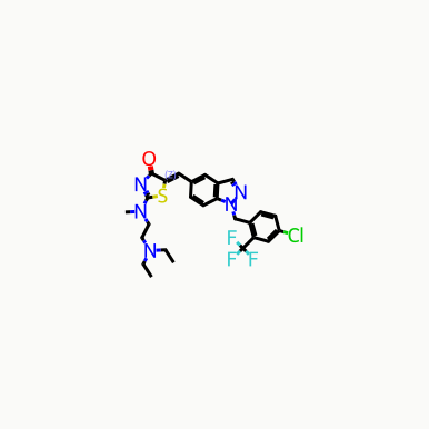 CCN(CC)CCN(C)C1=NC(=O)/C(=C/c2ccc3c(cnn3Cc3ccc(Cl)cc3C(F)(F)F)c2)S1